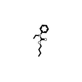 CCCCOC(=O)N(CC)c1[c]cccc1